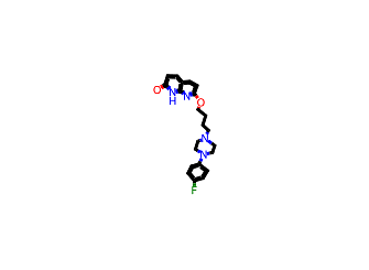 O=c1ccc2ccc(OCCCCN3CCN(c4ccc(F)cc4)CC3)nc2[nH]1